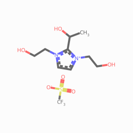 CC(O)c1n(CCO)cc[n+]1CCO.O=S(=O)([O-])C(F)(F)F